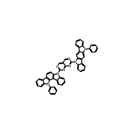 c1ccc(-n2c3ccccc3c3cc4c(cc32)c2ccccc2n4-c2ncc3cnc(-n4c5ccccc5c5c4ccc4c6ccccc6n(-c6ccccc6)c45)nc3n2)cc1